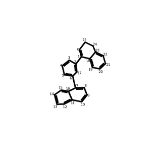 C1=C(c2cccc(-c3cccc4ccccc34)c2)c2ccccc2CC1